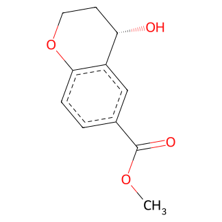 COC(=O)c1ccc2c(c1)[C@@H](O)CCO2